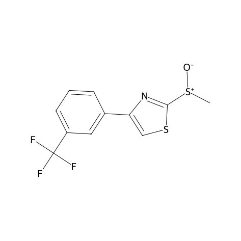 C[S+]([O-])c1nc(-c2cccc(C(F)(F)F)c2)cs1